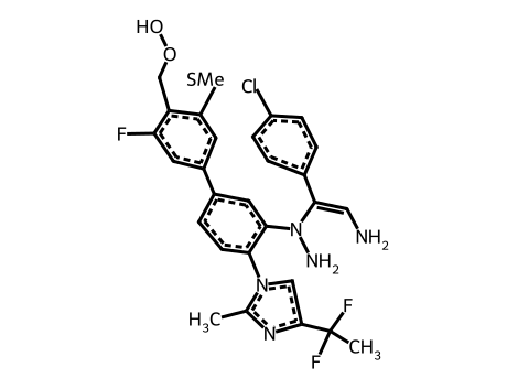 CSc1cc(-c2ccc(-n3cc(C(C)(F)F)nc3C)c(N(N)/C(=C\N)c3ccc(Cl)cc3)c2)cc(F)c1COO